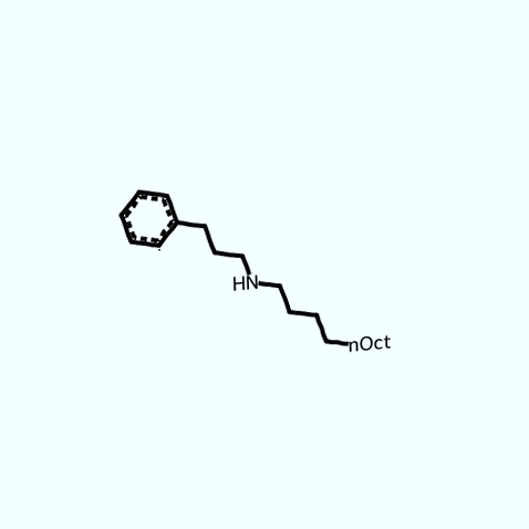 CCCCCCCCCCCCNCCCc1[c]cccc1